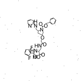 O=C(COC1CC(CNc2ccccn2)N(C(=O)OCc2ccccc2)C1)NCC(NC(=O)c1c(F)cccc1F)C(=O)O